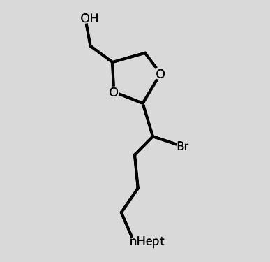 CCCCCCCCCCC(Br)C1OCC(CO)O1